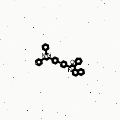 c1ccc(-c2cc(-c3ccc(-c4ccc(-c5nc6ccc7ccccc7c6c6c5oc5ccccc56)cc4)cc3)nc(-c3ccccc3)n2)cc1